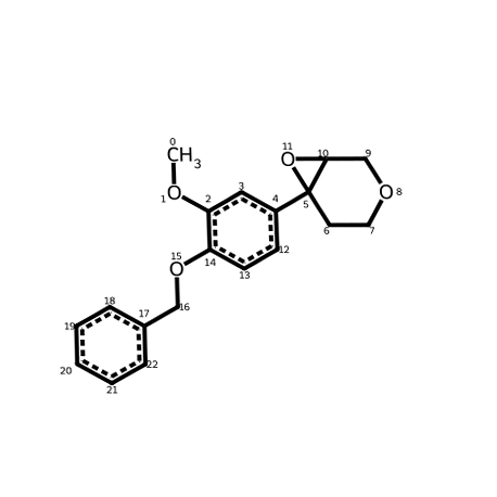 COc1cc(C23CCOCC2O3)ccc1OCc1ccccc1